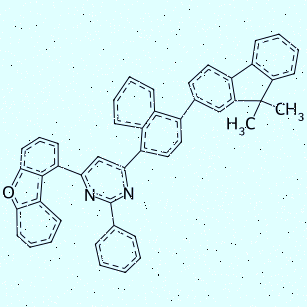 CC1(C)c2ccccc2-c2ccc(-c3ccc(-c4cc(-c5cccc6oc7ccccc7c56)nc(-c5ccccc5)n4)c4ccccc34)cc21